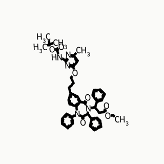 CCOC(=O)CC(c1ccccc1)N1C(=O)c2cc(CCCOc3cc(C)nc(NC(=O)OC(C)(C)C)n3)ccc2N(c2ccccc2)C(=O)C1c1ccccc1